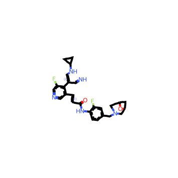 N=C/C(=C\NC1CC1)c1c(F)cncc1/C=C/C(=O)Nc1ccc(CN2CC3CC(C2)O3)cc1F